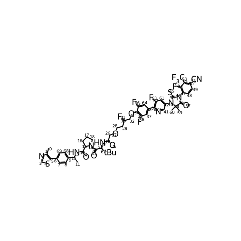 Cc1ncsc1-c1ccc([C@H](C)NC(=O)C2CCCN2C(=O)C(NC(=O)COCCC(F)COc2c(F)cc(-c3ncc(N4C(=S)N(c5ccc(C#N)c(C(F)(F)F)c5F)C(=O)C4(C)C)cc3F)cc2F)C(C)(C)C)cc1